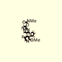 CNC(=O)Oc1cnn2ccc(N3CCC[C@@H]3c3cc(F)cnc3OC)nc12